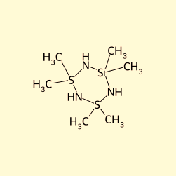 C[Si]1(C)NS(C)(C)NS(C)(C)N1